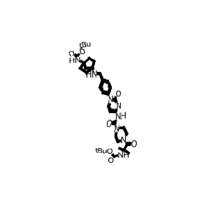 CC(C)(C)OC(=O)NC12CCC(NCc3ccc(-n4ccc(NC(=O)N5CCN(C(=O)C(C)(C)NC(=O)OC(C)(C)C)CC5)nc4=O)cc3)(CC1)C2